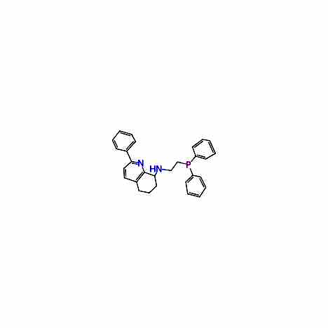 c1ccc(-c2ccc3c(n2)C(NCCP(c2ccccc2)c2ccccc2)CCC3)cc1